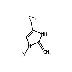 C=C1NC(C)=CN1C(C)C